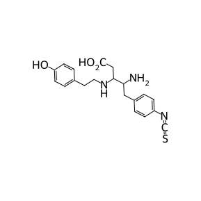 NC(Cc1ccc(N=C=S)cc1)C(CC(=O)O)NCCc1ccc(O)cc1